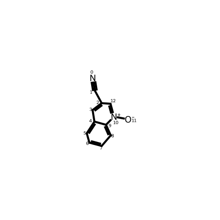 N#Cc1cc2ccccc2[n+]([O-])c1